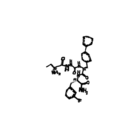 CC[C@@H](N)C(=O)NNC(=O)N[C@@H](Cc1ccc(-c2ccccc2)cc1)C(=O)N[C@@H](Cc1cccc(F)c1)C(N)=O